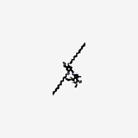 CCCCCCCCCCCCOc1cc(/C=N/c2sc(C)c(C(=O)OCC)c2C(=O)OCC)c(OCCCCCCCCCCCC)cc1/C=N/C